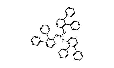 c1ccc(-c2cccc(OP(Oc3cccc(-c4ccccc4)c3-c3ccccc3)Oc3cccc(-c4ccccc4)c3-c3ccccc3)c2-c2ccccc2)cc1